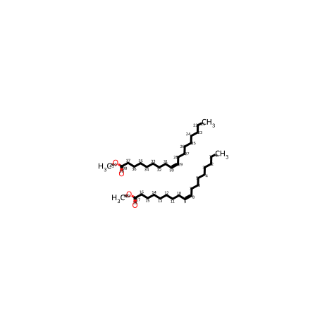 CCCCCCCC/C=C\CCCCCCCC(=O)OC.CCCCCCCC/C=C\CCCCCCCC(=O)OC